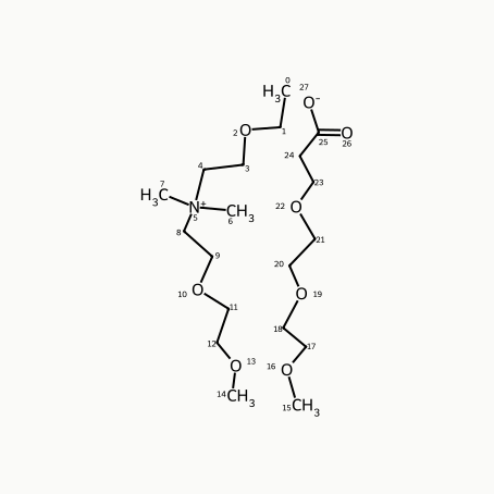 CCOCC[N+](C)(C)CCOCCOC.COCCOCCOCCC(=O)[O-]